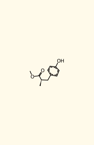 COC(=O)[C@H](C)Cc1ccc(O)cc1